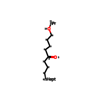 CCCCCCCCCCC(=O)CCCCOCCC